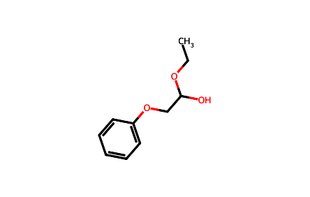 CCOC(O)COc1ccccc1